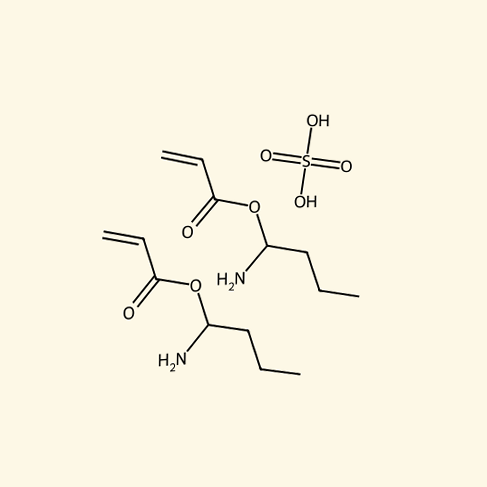 C=CC(=O)OC(N)CCC.C=CC(=O)OC(N)CCC.O=S(=O)(O)O